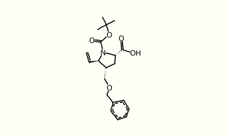 C=C[C@@H]1[C@@H](COCc2ccccc2)C[C@@H](C(=O)O)N1C(=O)OC(C)(C)C